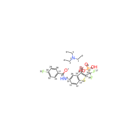 CCN(CC)CC.O=C(Nc1ccc2sc(C(F)(F)P(=O)(O)O)c(Br)c2c1)c1ccc(F)cc1